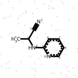 CC(C#N)Nc1ccccn1